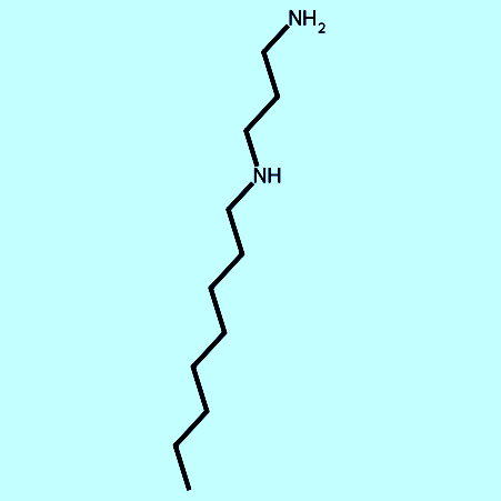 CCCCCCCCNCCCN